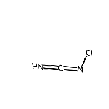 N=C=NCl